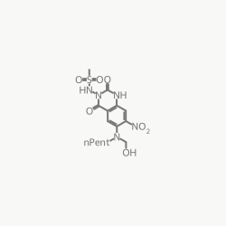 CCCCCN(CO)c1cc2c(=O)n(NS(C)(=O)=O)c(=O)[nH]c2cc1[N+](=O)[O-]